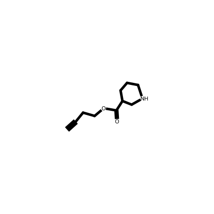 C#CCCOC(=O)C1CCCNC1